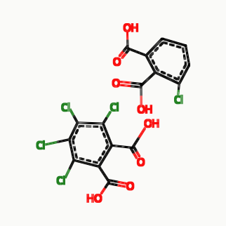 O=C(O)c1c(Cl)c(Cl)c(Cl)c(Cl)c1C(=O)O.O=C(O)c1cccc(Cl)c1C(=O)O